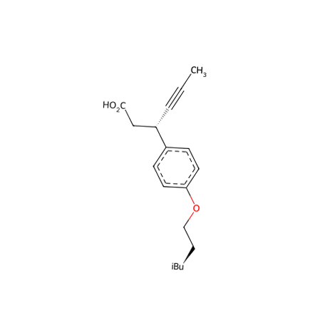 CC#C[C@@H](CC(=O)O)c1ccc(OCC[C@H](C)CC)cc1